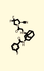 N#C[C@@H]1CC(F)(F)CN1C(=O)CNC12CC3CC(C1)CC(NC(=O)c1cccc(F)c1)(C3)C2